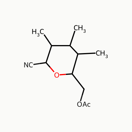 CC(=O)OCC1OC(C#N)C(C)C(C)C1C